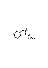 COCOC(=O)CC1CCCCC1